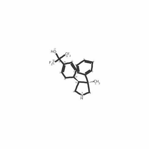 C[C@]1(c2ccccc2)CNC[C@H]1C1C=CC(C(O)(C(F)(F)F)C(F)(F)F)=CC1